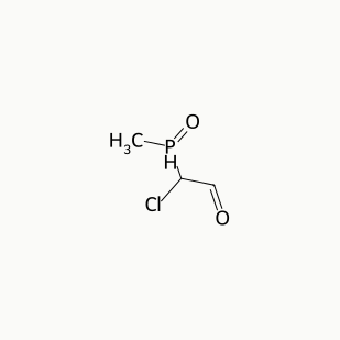 C[PH](=O)C(Cl)C=O